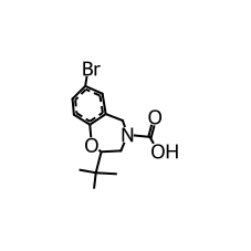 CC(C)(C)C1CN(C(=O)O)Cc2cc(Br)ccc2O1